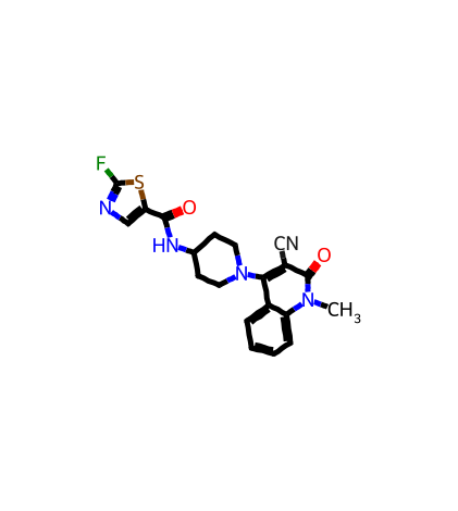 Cn1c(=O)c(C#N)c(N2CCC(NC(=O)c3cnc(F)s3)CC2)c2ccccc21